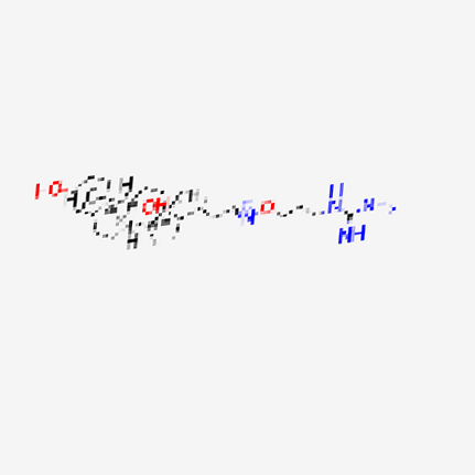 C[C@]12CCC(O)CC1CC[C@@H]1[C@H]2CC[C@]2(C)C(CC/C=N/OCCCNC(=N)N)CC[C@@]12O